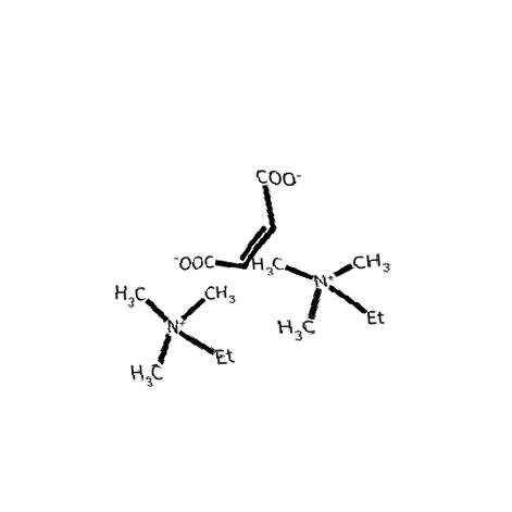 CC[N+](C)(C)C.CC[N+](C)(C)C.O=C([O-])/C=C\C(=O)[O-]